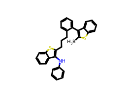 Bc1sc2ccccc2c1-c1ccccc1CCCc1sc2ccccc2c1Nc1ccccc1